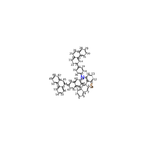 c1ccc2cc3c(cc2c1)sc1cccc(N(c2ccc(-c4ccc5ccc6ccccc6c5c4)cc2)c2ccc4ccc(-c5cc6ccccc6c6ccccc56)cc4c2)c13